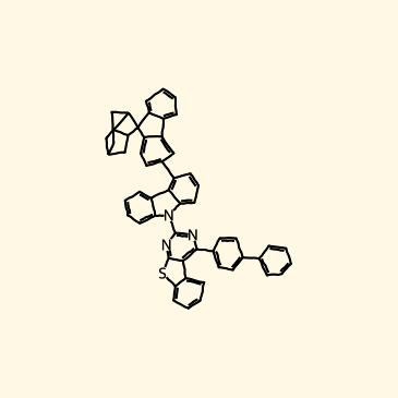 c1ccc(-c2ccc(-c3nc(-n4c5ccccc5c5c(-c6ccc7c(c6)-c6ccccc6C76C7CC8CC(C7)C6C8)cccc54)nc4sc5ccccc5c34)cc2)cc1